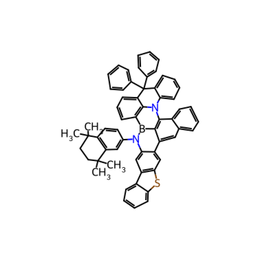 CC1(C)CCC(C)(C)c2cc(N3B4c5cccc6c5N(c5ccccc5C6(c5ccccc5)c5ccccc5)c5c4c(cc4ccccc54)-c4cc5sc6ccccc6c5cc43)ccc21